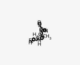 Cc1ccc(NC(=O)Cc2cccc(C(F)(F)F)c2)cc1N(C)/C=C(\C=N)c1cnccc1OCCN1CCOCC1